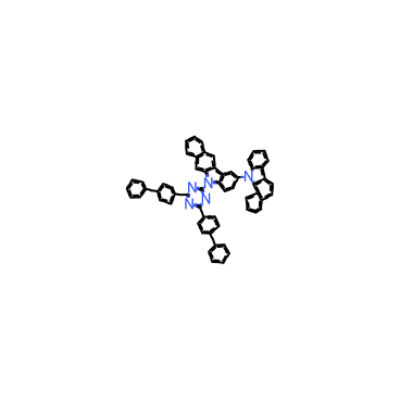 c1ccc(-c2ccc(-c3nc(-c4ccc(-c5ccccc5)cc4)nc(-n4c5ccc(-n6c7ccccc7c7ccc8ccccc8c76)cc5c5cc6ccccc6cc54)n3)cc2)cc1